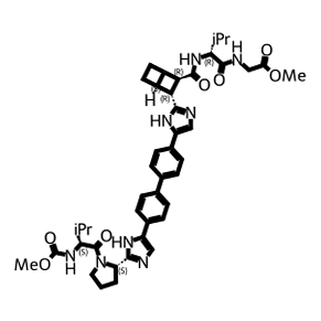 COC(=O)CNC(=O)[C@H](NC(=O)[C@@H]1C2CC[C@@H]2[C@H]1c1ncc(-c2ccc(-c3ccc(-c4cnc([C@@H]5CCCN5C(=O)[C@@H](NC(=O)OC)C(C)C)[nH]4)cc3)cc2)[nH]1)C(C)C